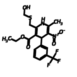 CCOC(=O)C1=C(CSCO)NC(C)=C([N+](=O)[O-])C1c1cccc(C(F)(F)F)c1